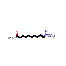 COC(=O)CCCCCCC/C=C/NC(=O)O